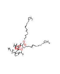 C=C(C)C(=O)OC(CCCCCCCCCCCC)=C(C)C(=O)OCCCCCCCCCCCC